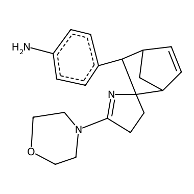 Nc1ccc(C2C3C=CC(C3)C23CCC(N2CCOCC2)=N3)cc1